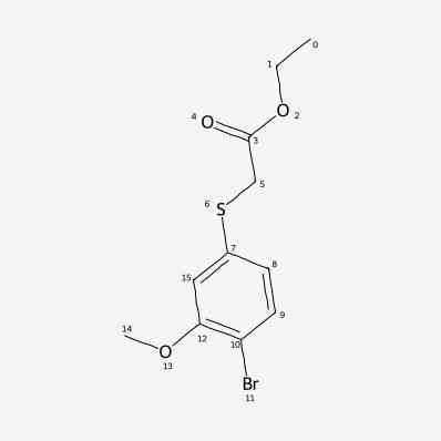 CCOC(=O)CSc1ccc(Br)c(OC)c1